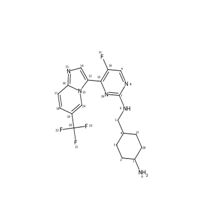 NC1CCC(CNc2ncc(F)c(-c3cnc4ccc(C(F)(F)F)cn34)n2)CC1